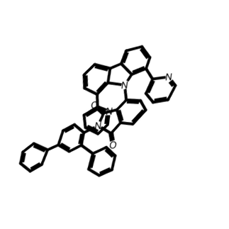 O=C1c2cccc(-n3c4c(-c5ccccn5)cccc4c4cccc(-c5ccccn5)c43)c2C(=O)N1c1ccc(-c2ccccc2)cc1-c1ccccc1